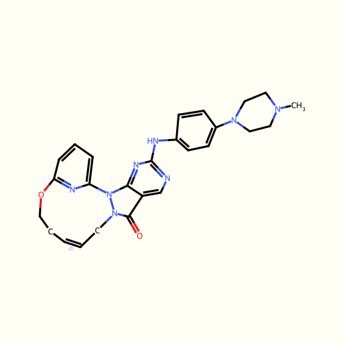 CN1CCN(c2ccc(Nc3ncc4c(=O)n5n(c4n3)-c3cccc(n3)OCC/C=C\C5)cc2)CC1